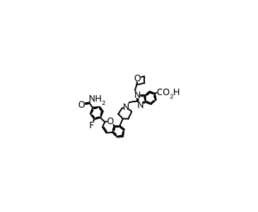 NC(=O)c1ccc(C2C=Cc3cccc(C4CCN(Cc5nc6ccc(C(=O)O)cc6n5CC5CCO5)CC4)c3O2)c(F)c1